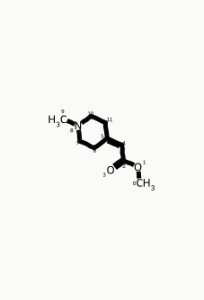 COC(=O)C=C1CCN(C)CC1